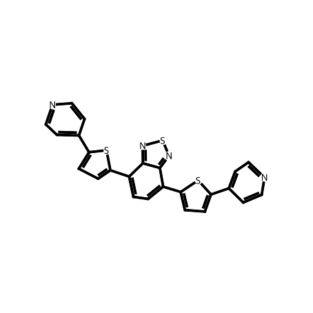 c1cc(-c2ccc(-c3ccc(-c4ccc(-c5ccncc5)s4)c4nsnc34)s2)ccn1